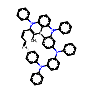 C=C/C=C\C1=C(C)B2c3ccc(N(c4ccccc4)c4cccc(N(c5ccccc5)c5ccccc5)c4)cc3N(c3ccccc3)c3cccc(c32)N1c1ccccc1